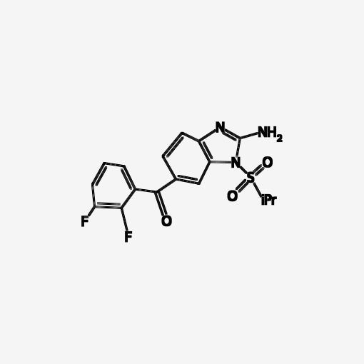 CC(C)S(=O)(=O)n1c(N)nc2ccc(C(=O)c3cccc(F)c3F)cc21